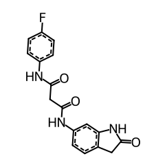 O=C(CC(=O)Nc1ccc2c(c1)NC(=O)C2)Nc1ccc(F)cc1